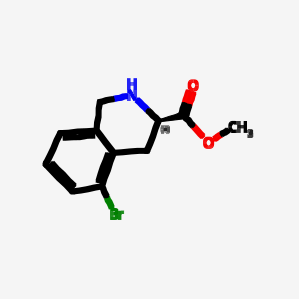 COC(=O)[C@H]1Cc2c(Br)cccc2CN1